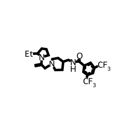 C=C(CN1CCC(CNC(=O)c2cc(C(F)(F)F)cc(C(F)(F)F)c2)CC1)N1CCCC1CC